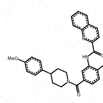 COc1ccc(C2CCN(C(=O)c3ccc(C)c(NC(=O)c4ccc5ccccc5n4)c3)CC2)cc1